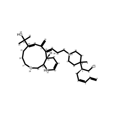 C=C/C=C\C[C@H](CCl)C1(C)CCN(CC/C=C2/C(=C)/C=C(/C(C)(C)O)CCCOCC3NC=CC[C@@H]23)CC1